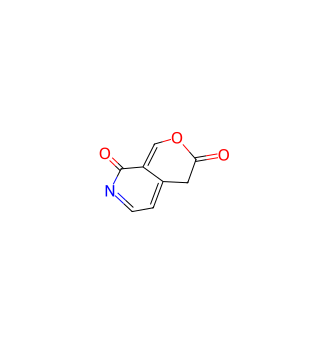 O=C1CC2=CC=NC(=O)C2=CO1